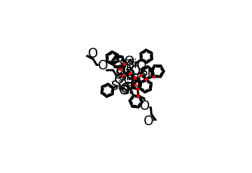 C[Si]1(CCCOCC2CO2)O[Si]2(c3ccccc3)OC34O[Si](c5ccccc5)(O2)O[Si]2(c5ccccc5)O[Si](C)(CCCOCC5CO5)O[Si]5(c6ccccc6)O[Si](c6ccccc6)(O[Si](c6ccccc6)(O1)O[Si]3(c1ccccc1)O5)O[Si]4(c1ccccc1)O2